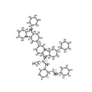 C/C(=N\c1ccccc1/C=N/c1ccccc1)n1c2ccc(-c3ccccc3)cc2c2cc(-c3ccc4c(c3)c3ccccc3n4-c3ccccc3)ccc21